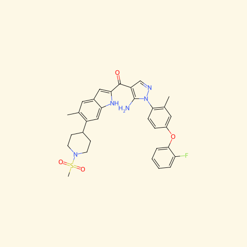 Cc1cc2cc(C(=O)c3cnn(-c4ccc(Oc5ccccc5F)cc4C)c3N)[nH]c2cc1C1CCN(S(C)(=O)=O)CC1